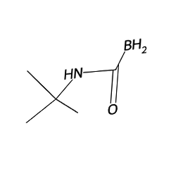 BC(=O)NC(C)(C)C